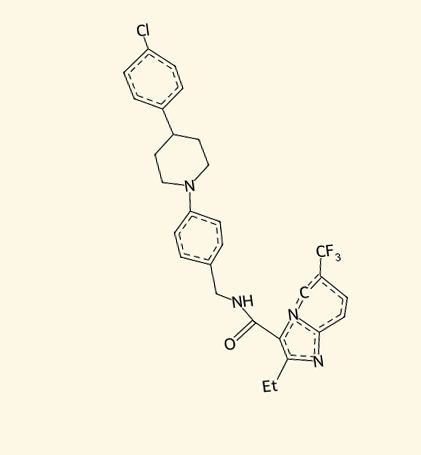 CCc1nc2ccc(C(F)(F)F)cn2c1C(=O)NCc1ccc(N2CCC(c3ccc(Cl)cc3)CC2)cc1